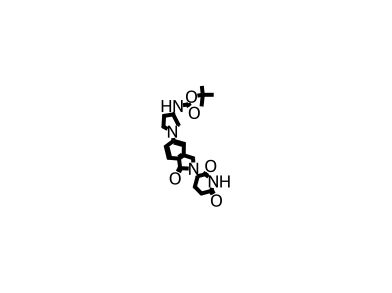 CC(C)(C)OC(=O)N[C@@H]1CCN(c2ccc3c(c2)CN(C2CCC(=O)NC2=O)C3=O)C1